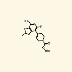 C[C@@H]1Cc2c(c(N)cc(F)c2C2=CCN(C(=O)OC(C)(C)C)CC2)O1